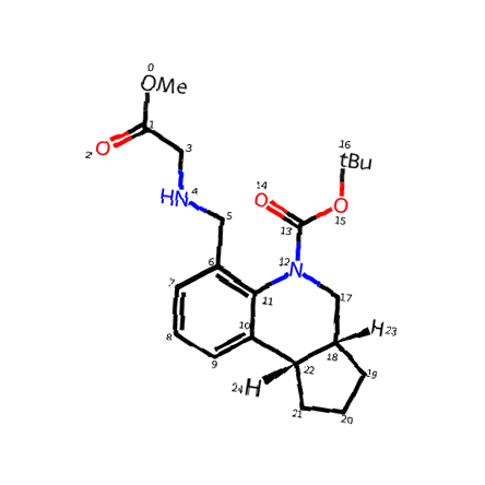 COC(=O)CNCc1cccc2c1N(C(=O)OC(C)(C)C)C[C@@H]1CCC[C@H]21